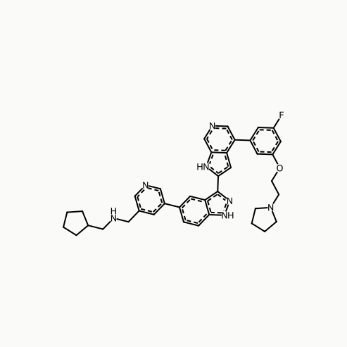 Fc1cc(OCCN2CCCC2)cc(-c2cncc3[nH]c(-c4n[nH]c5ccc(-c6cncc(CNCC7CCCC7)c6)cc45)cc23)c1